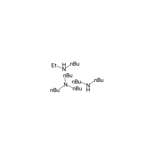 CCCCN(CCCC)CCCC.CCCCNCC.CCCCNCCCC